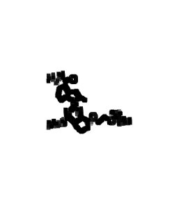 CSc1nc(-n2c(C)cc3c(C(N)=O)cccc32)nc2c1CCC[C@@H]2OCCO[Si](C)(C)C(C)(C)C